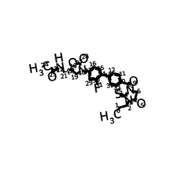 CCCN1C(=O)CN(C(=O)c2ccc(-c3ccc(N4C[C@H](CNC(C)=O)OC4=O)cc3F)cc2)C1=S